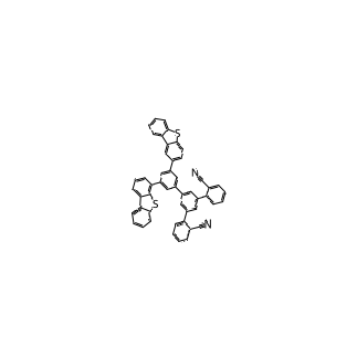 N#Cc1ccccc1-c1cc(-c2cc(-c3ccc4sc5ccccc5c4c3)cc(-c3cccc4c3sc3ccccc34)c2)cc(-c2ccccc2C#N)c1